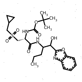 CCCC(NC(=O)[C@H](CS(=O)(=O)CC1CC1)NC(=O)OC(C)(C)C)C(O)c1nc2ccccc2o1